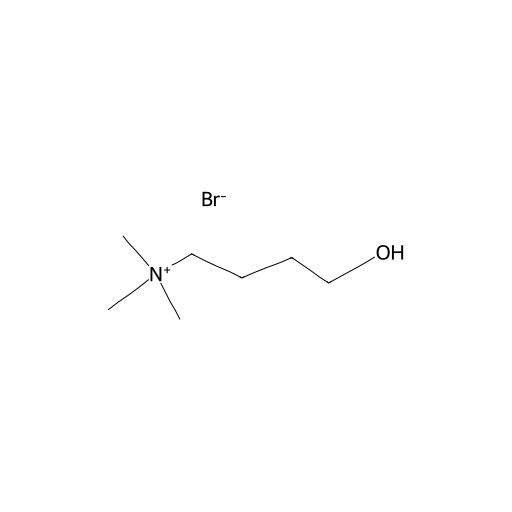 C[N+](C)(C)CCCCO.[Br-]